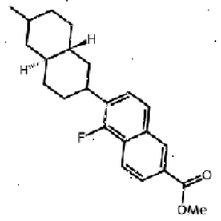 COC(=O)c1ccc2c(F)c(C3CC[C@H]4CC(C)CC[C@@H]4C3)ccc2c1